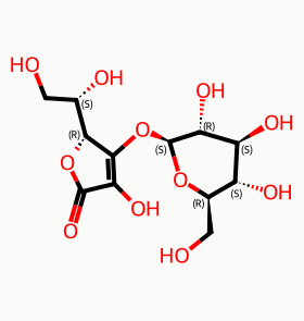 O=C1O[C@H]([C@@H](O)CO)C(O[C@@H]2O[C@H](CO)[C@@H](O)[C@H](O)[C@H]2O)=C1O